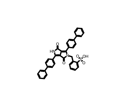 O=C1NC(c2ccc(-c3ccccc3)cc2)=C2C(=O)N(Cc3ccccc3S(=O)(=O)O)C(c3ccc(-c4ccccc4)cc3)=C12